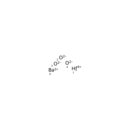 [Ba+2].[Hf+4].[O-2].[O-2].[O-2]